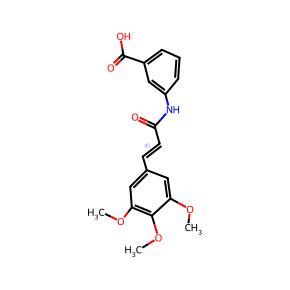 COc1cc(/C=C/C(=O)Nc2cccc(C(=O)O)c2)cc(OC)c1OC